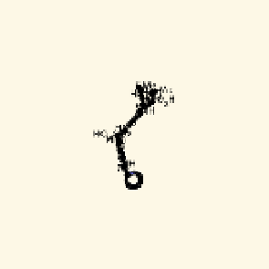 CSCC(=O)NCCN(CCNC(=O)CSC)C(=O)[C@H](CCCC(=O)O)NC(=O)COCCOCCNC(=O)CCC(NC(=O)COCCOCCNC(=O)CSC1/C=C\CCCCCCCCCCC1)C(=O)O